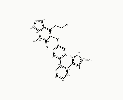 CCCc1c(Cc2ccc(-c3ccccc3-c3noc(=O)[nH]3)cc2)c(=O)n(C)c2ncnn12